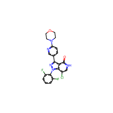 O=c1[nH]cc(Cl)c2c1c(-c1ccc(N3CCOCC3)nc1)nn2-c1c(F)cccc1F